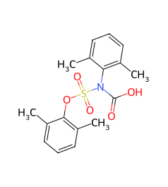 Cc1cccc(C)c1OS(=O)(=O)N(C(=O)O)c1c(C)cccc1C